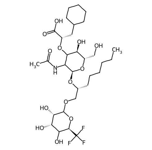 CCCCCC[C@H](COC1O[C@@H](C(F)(F)F)C(O)[C@H](O)[C@@H]1O)O[C@@H]1O[C@@H](CO)[C@H](O)C(O[C@@H](CC2CCCCC2)C(=O)O)C1NC(C)=O